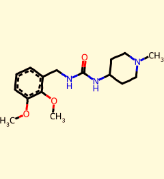 COc1cccc(CNC(=O)NC2CCN(C)CC2)c1OC